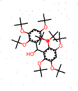 CC(C)(C)Oc1cc(OC(C)(C)C)c(OC(C)(C)C)c(C(O)c2c(OC(C)(C)C)c(OC(C)(C)C)cc(OC(C)(C)C)c2OC(C)(C)C)c1OC(C)(C)C